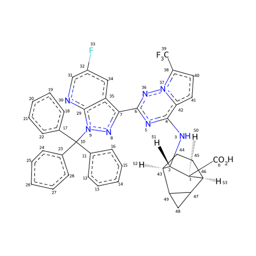 O=C(O)[C@@H]1[C@@H](Nc2nc(-c3nn(C(c4ccccc4)(c4ccccc4)c4ccccc4)c4ncc(F)cc34)nn3c(C(F)(F)F)ccc23)[C@@H]2CC[C@H]1C1CC12